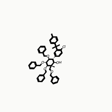 Cc1ccc(C(C)(C)c2cc([C@H]3[C@H](OCc4ccccc4)[C@@H](OCc4ccccc4)[C@H](OCc4ccccc4)[C@@](C)(COCc4ccccc4)[C@@H]3O)ccc2Cl)cc1